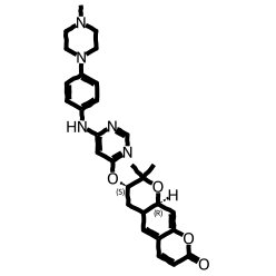 CN1CCN(c2ccc(Nc3cc(O[C@H]4CC5C=c6ccc(=O)oc6=C[C@@H]5OC4(C)C)ncn3)cc2)CC1